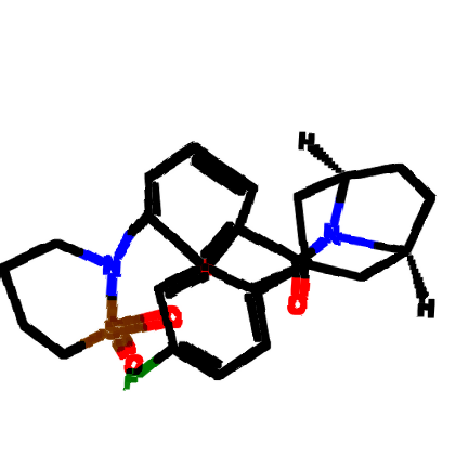 O=C(c1cccc(N2CCCCS2(=O)=O)c1)N1[C@@H]2CC[C@H]1C[C@@H](c1ccc(F)cc1)C2